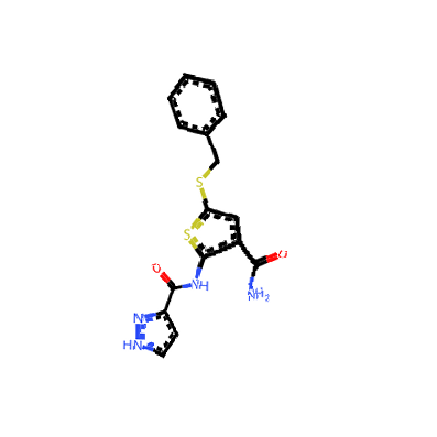 NC(=O)c1cc(SCc2ccccc2)sc1NC(=O)c1cc[nH]n1